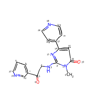 Cn1c(NCC(=O)c2cccnc2)nc(-c2ccncc2)cc1=O